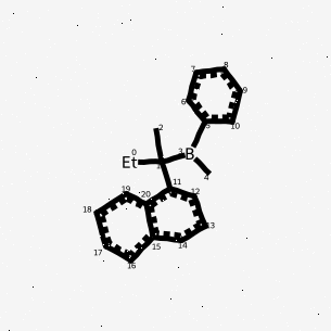 CCC(C)(B(C)c1ccccc1)c1cccc2ccccc12